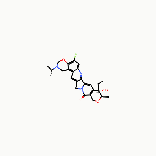 C=C1OCc2c(cc3n(c2=O)Cc2cc4c5c(c(F)cc4nc2-3)OCN(C(C)C)C5)[C@@]1(O)CC